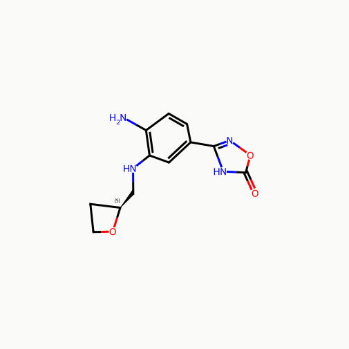 Nc1ccc(-c2noc(=O)[nH]2)cc1NC[C@@H]1CCO1